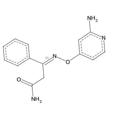 NC(=O)C/C(=N\Oc1ccnc(N)c1)c1ccccc1